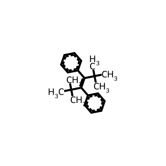 CC(C)(C)C(=C(c1ccccc1)C(C)(C)C)c1ccccc1